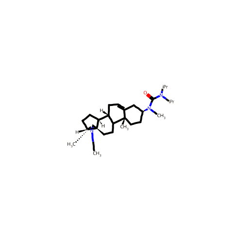 CC(C)N(C(=O)N(C)[C@H]1CC[C@@]2(C)C(=CC[C@@H]3C2CC[C@]24CN(C)[C@@H](C)[C@H]2CC[C@@H]34)C1)C(C)C